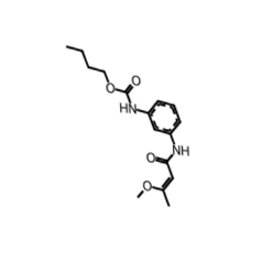 CCCCOC(=O)Nc1cccc(NC(=O)C=C(C)OC)c1